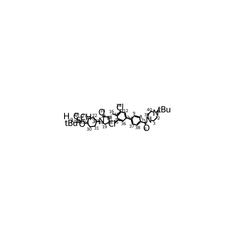 CC(C)(C)N1CCN(C(=O)c2ccc(-c3cc(Cl)c(C[C@@H]4CCN(C5CCC(O[Si](C)(C)C(C)(C)C)CC5)C4=O)c(Cl)c3)cc2)CC1